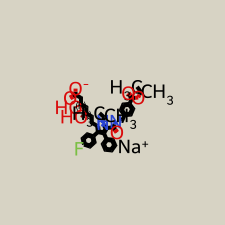 CC(C)OC(=O)c1ccc(CNC(=O)c2c(-c3ccccc3)c(-c3ccc(F)cc3)c(CC[C@@H](O)C[C@@H](O)CC(=O)[O-])n2C(C)C)cc1.[Na+]